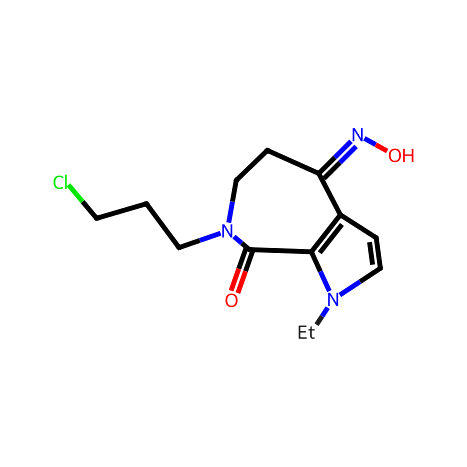 CCn1ccc2c1C(=O)N(CCCCl)CC/C2=N/O